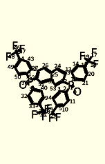 O=P(c1ccc(C(F)(F)F)cc1)(c1ccc(C(F)(F)F)cc1)c1ccc2ccc(P(=O)(c3ccc(C(F)(F)F)cc3)c3ccc(C(F)(F)F)cc3)cc2c1